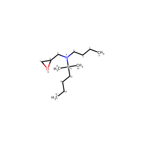 CCCCN(CC1CO1)[Si](C)(C)CCCC